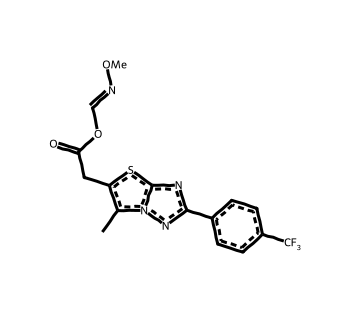 CON=COC(=O)Cc1sc2nc(-c3ccc(C(F)(F)F)cc3)nn2c1C